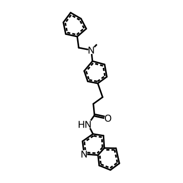 CN(Cc1ccccc1)c1ccc(CCC(=O)Nc2cnc3ccccc3c2)cc1